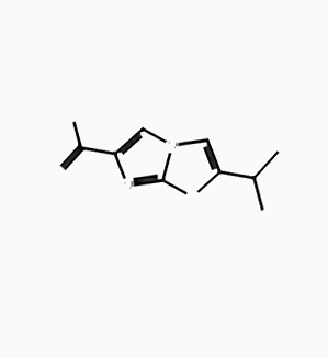 CC(C)c1cn2cc(C(=O)O)nc2s1